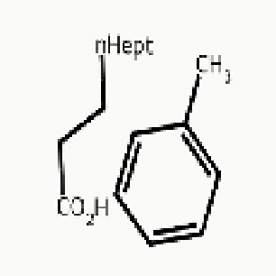 CCCCCCCCCC(=O)O.Cc1ccccc1